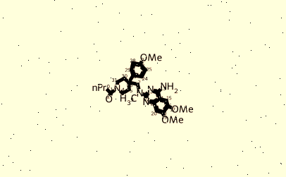 CCCC(=O)N1CCC(CN(C)c2nc(N)c3cc(OC)c(OC)cc3n2)(c2ccc(OC)cc2)CC1